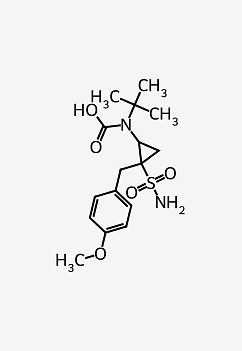 COc1ccc(CC2(S(N)(=O)=O)CC2N(C(=O)O)C(C)(C)C)cc1